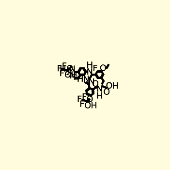 CCOc1cc(CC)cc(C(Nc2ccc3c(N)nccc3c2)c2nc(-c3ccccc3C(=O)NCC(=O)O)c[nH]2)c1F.O=C(O)C(F)(F)F.O=C(O)C(F)(F)F